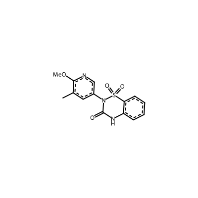 COc1ncc(N2C(=O)Nc3ccccc3S2(=O)=O)cc1C